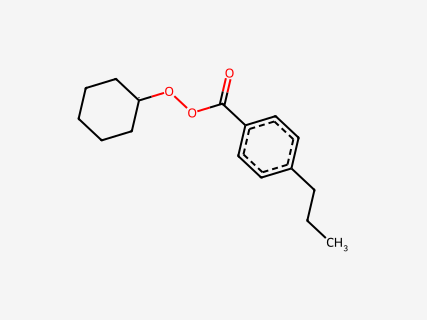 CCCc1ccc(C(=O)OO[C]2CCCCC2)cc1